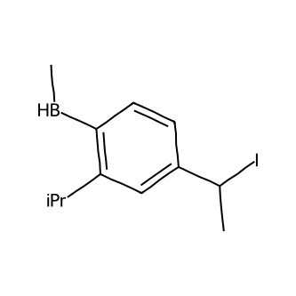 CBc1ccc(C(C)I)cc1C(C)C